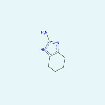 Nc1nc2c([nH]1)CCCC2